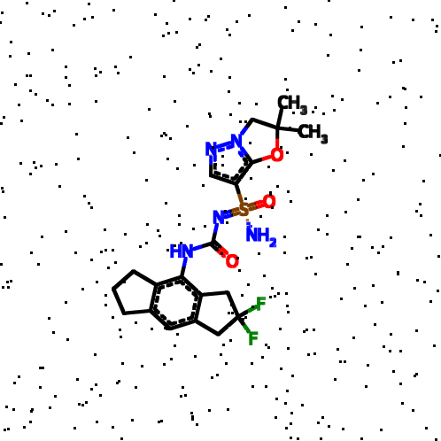 CC1(C)Cn2ncc([S@@](N)(=O)=NC(=O)Nc3c4c(cc5c3CC(F)(F)C5)CCC4)c2O1